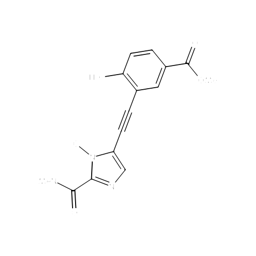 CNC(=O)c1ncc(C#Cc2cc(C(=O)OC)ccc2C)n1C